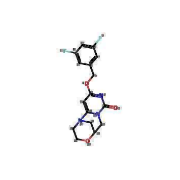 O=c1nc(OCc2cc(F)cc(F)c2)cc2n1CC1CN2CCO1